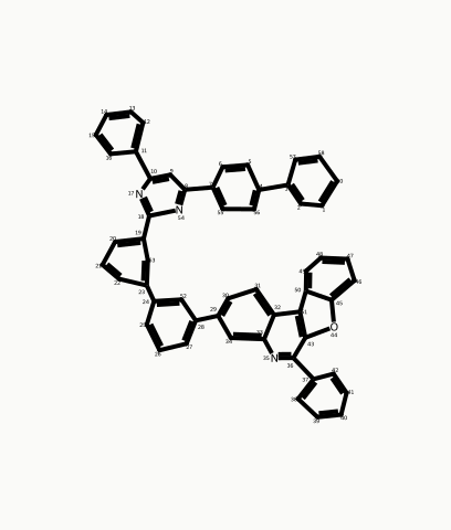 c1ccc(-c2ccc(-c3cc(-c4ccccc4)nc(-c4cccc(-c5cccc(-c6ccc7c(c6)nc(-c6ccccc6)c6oc8ccccc8c67)c5)c4)n3)cc2)cc1